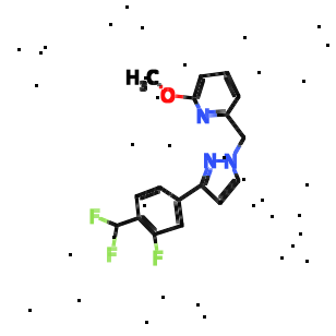 COc1cccc(Cn2ccc(-c3ccc(C(F)F)c(F)c3)n2)n1